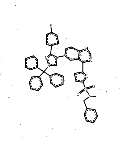 CN(Cc1ccccc1)S(=O)(=O)c1ccc(-c2ncnc3ccc(-c4cn(C(c5ccccc5)(c5ccccc5)c5ccccc5)nc4-c4ccc(F)cc4)cc23)s1